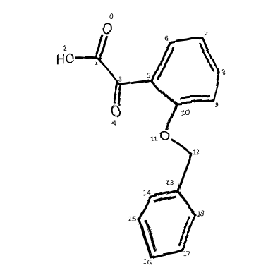 O=C(O)C(=O)c1ccccc1OCc1ccccc1